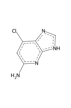 Nc1cc(Cl)c2nc[nH]c2n1